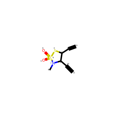 C#CC1SS(=O)(=O)N(C)C1C#C